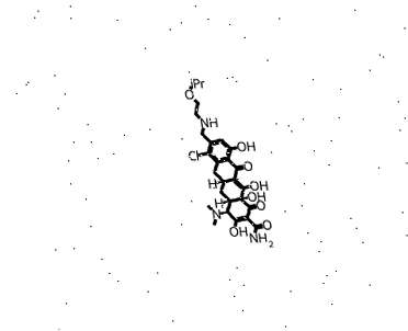 CC(C)OCCNCc1cc(O)c2c(c1Cl)C[C@H]1C[C@H]3[C@H](N(C)C)C(O)=C(C(N)=O)C(=O)[C@@]3(O)C(O)=C1C2=O